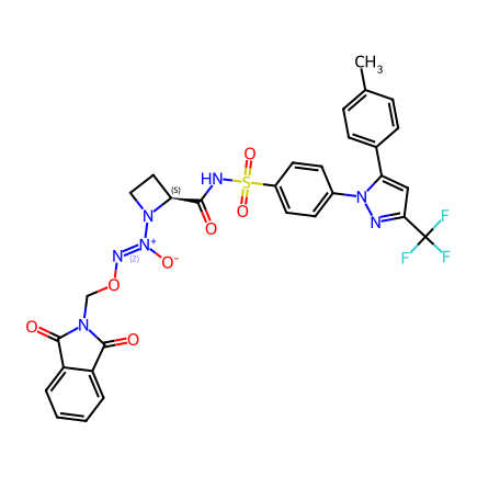 Cc1ccc(-c2cc(C(F)(F)F)nn2-c2ccc(S(=O)(=O)NC(=O)[C@@H]3CCN3/[N+]([O-])=N/OCN3C(=O)c4ccccc4C3=O)cc2)cc1